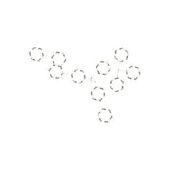 c1ccc(-c2ccc(N(c3ccc(-c4ccc5c6c(cccc46)-c4ccccc4O5)cc3)c3ccc4c(c3)C(c3ccccc3)(c3ccccc3)c3ccccc3-4)cc2)cc1